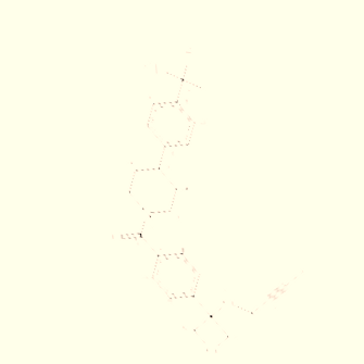 CC#CCOC1(c2ccc(C(=O)N3CCC(c4ccc(C(F)(F)F)cc4)CC3)cc2)COC1